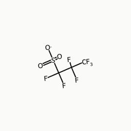 [O]S(=O)(=O)C(F)(F)C(F)(F)C(F)(F)F